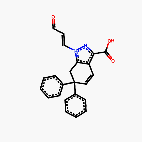 O=CC=Cn1nc(C(=O)O)c2c1CC(c1ccccc1)(c1ccccc1)C=C2